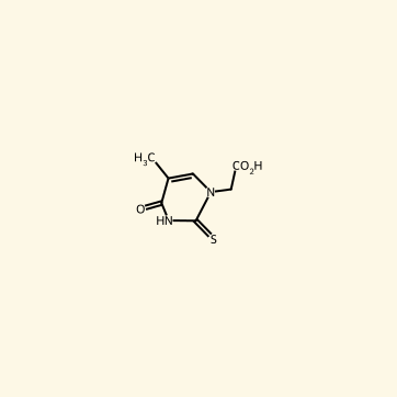 Cc1cn(CC(=O)O)c(=S)[nH]c1=O